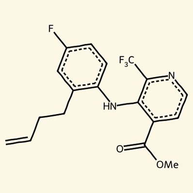 C=CCCc1cc(F)ccc1Nc1c(C(=O)OC)ccnc1C(F)(F)F